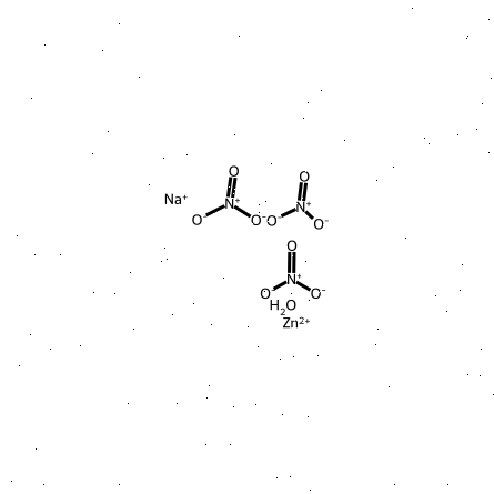 O.O=[N+]([O-])[O-].O=[N+]([O-])[O-].O=[N+]([O-])[O-].[Na+].[Zn+2]